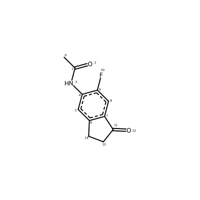 CC(=O)Nc1cc2c(cc1F)C(=O)CC2